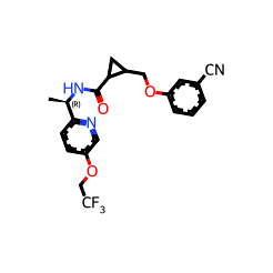 C[C@@H](NC(=O)C1CC1COc1cccc(C#N)c1)c1ccc(OCC(F)(F)F)cn1